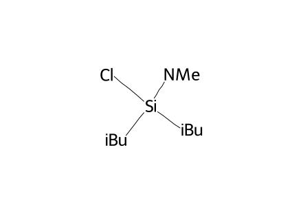 CCC(C)[Si](Cl)(NC)C(C)CC